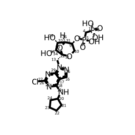 O=P(O)(O)CP(=O)(O)O[C@H]1CO[C@]2(Cn3ncc4c(NC5CCCC5)nc(Cl)nc43)O[C@H]1[C@@H](O)[C@H]2O